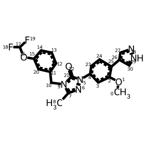 COc1cc(-n2nc(C)n(Cc3cccc(OC(F)F)c3)c2=O)ccc1-c1cn[nH]c1